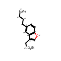 CCOC(=O)Cc1coc2ccc(CCCNC)cc12